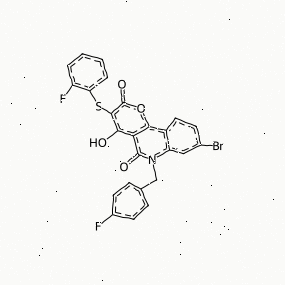 O=c1oc2c(c(O)c1Sc1ccccc1F)c(=O)n(Cc1ccc(F)cc1)c1cc(Br)ccc21